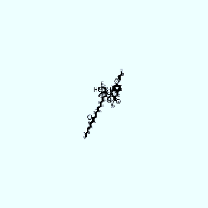 CCCCCCCC(=O)CCCCCC/C=C/[C@H](C(=O)N[C@@H](Cc1ccc(OCCCC)cc1)C(=O)OC)[C@@](O)(CCF)C(=O)O